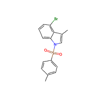 Cc1ccc(S(=O)(=O)n2cc(C)c3c(Br)cccc32)cc1